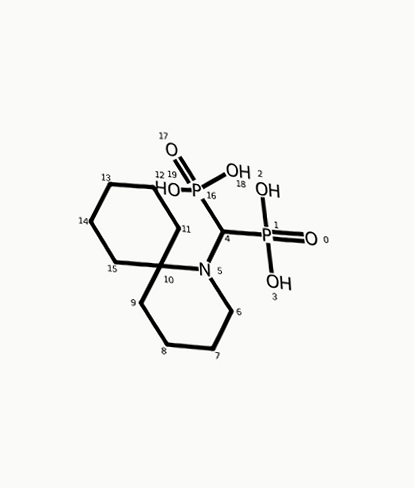 O=P(O)(O)C(N1CCCCC12CCCCC2)P(=O)(O)O